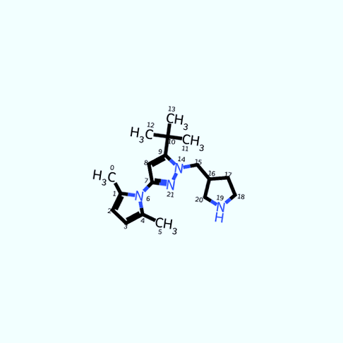 Cc1ccc(C)n1-c1cc(C(C)(C)C)n(CC2CCNC2)n1